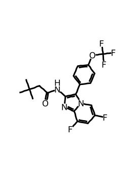 CC(C)(C)CC(=O)Nc1nc2c(F)cc(F)cn2c1-c1ccc(OC(F)(F)F)cc1